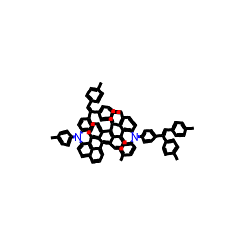 Cc1ccc(C=C(c2ccc(C)cc2)c2ccc(N(c3ccc(C)cc3)c3ccc4cccc5c4c3c3cccc4c3c5c3cccc5c6c(N(c7ccc(C)cc7)c7ccc(C(=Cc8ccc(C)cc8)c8ccc(C)cc8)cc7)ccc7cccc(c76)c4c53)cc2)cc1